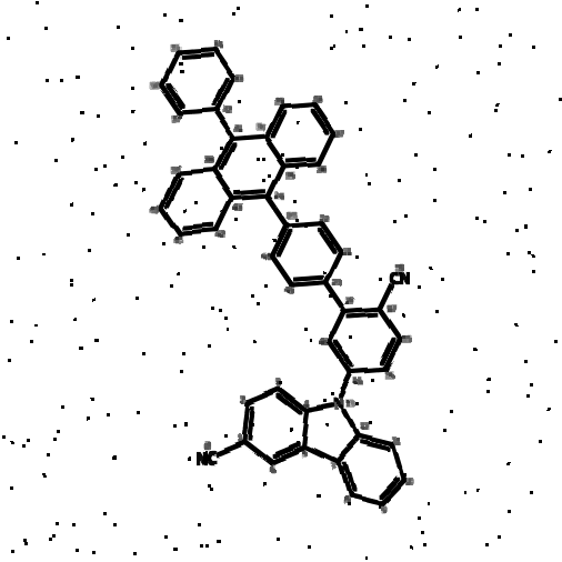 N#Cc1ccc2c(c1)c1ccccc1n2-c1ccc(C#N)c(-c2ccc(-c3c4ccccc4c(-c4ccccc4)c4ccccc34)cc2)c1